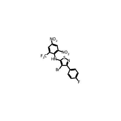 O=[N+]([O-])c1cc([N+](=O)[O-])c(Nc2snc(-c3ccc(F)cc3)c2Br)c(C(F)(F)F)c1